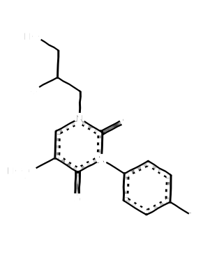 O=C(O)c1cn(CC(O)CO)c(=O)n(-c2ccc(F)cc2)c1=O